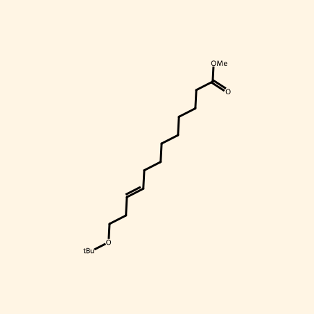 COC(=O)CCCCCCCC=CCCOC(C)(C)C